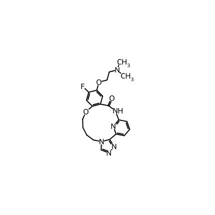 CN(C)CCOc1cc2c(cc1F)OCCCCn1cnnc1-c1cccc(n1)NC2=O